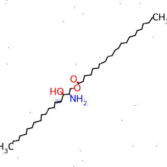 CCCCCCCCCCCCC/C=C/C(O)C(N)COC(=O)CCCCCCCCCCCCCCCCCCCCC